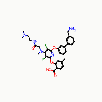 Cc1ccc(C(=O)O)c(Oc2nc(Oc3cccc(-c4cccc(CN)c4)c3)c(F)c(N(C)CC(=O)NCCN(C)C)c2F)c1